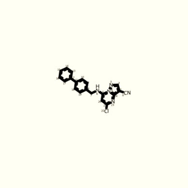 N#Cc1cnn2c(NCc3ccc(-c4ccccc4)cc3)cc(Cl)nc12